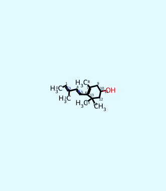 C/C=C(C)/C=C/C1=C(C)CC(O)CC1(C)C